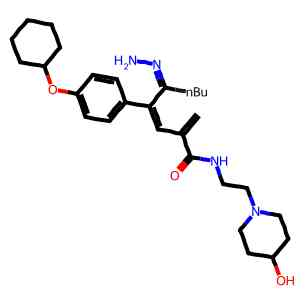 C=C(/C=C(\C(CCCC)=N/N)c1ccc(OC2CCCCC2)cc1)C(=O)NCCN1CCC(O)CC1